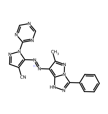 Cc1nn2c(-c3ccccc3)n[nH]c2c1/N=N/c1c(C#N)cnn1-c1ncncn1